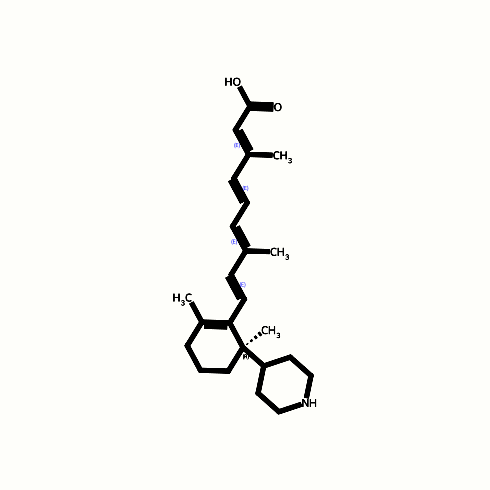 CC1=C(/C=C/C(C)=C/C=C/C(C)=C/C(=O)O)[C@@](C)(C2CCNCC2)CCC1